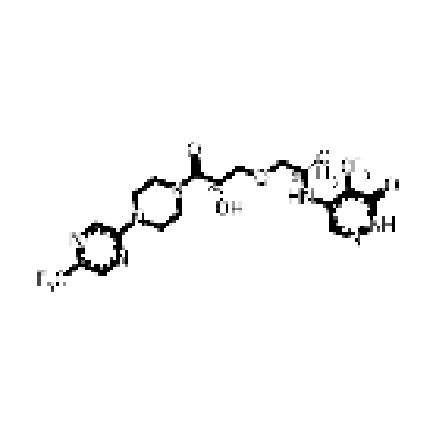 C[C@@H](COC[C@H](O)C(=O)N1CCN(c2cnc(C(F)(F)F)cn2)CC1)Nc1cn[nH]c(=O)c1C(F)(F)F